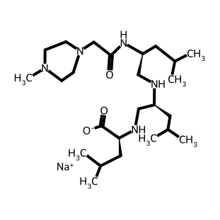 CC(C)C[C@@H](CN[C@@H](CC(C)C)C(=O)[O-])NC[C@H](CC(C)C)NC(=O)CN1CCN(C)CC1.[Na+]